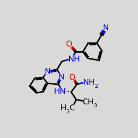 CC(C)[C@H](Nc1nc(CNC(=O)c2cccc(C#N)c2)nc2ccccc12)C(N)=O